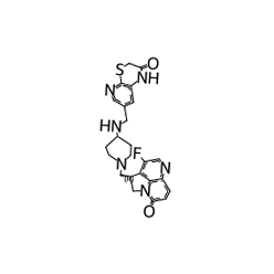 O=C1CSc2ncc(CNC3CCN(C[C@@H]4Cn5c(=O)ccc6ncc(F)c4c65)CC3)cc2N1